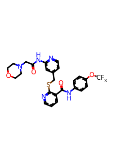 O=C(CN1CCOCC1)Nc1cc(CSc2ncccc2C(=O)Nc2ccc(OC(F)(F)F)cc2)ccn1